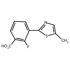 Cc1cnc(-c2cccc(C(=O)O)c2F)s1